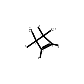 CC1=C(C)C(C)(Cl)C1(C)Cl